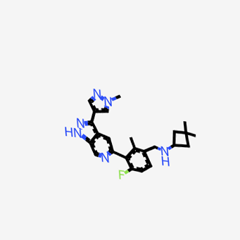 Cc1c(CNC2CC(C)(C)C2)ccc(F)c1-c1cc2c(-c3cnn(C)c3)n[nH]c2cn1